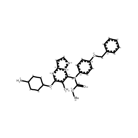 Cc1c(OC2CCC(N)CC2)nc2ccnn2c1N(C(=O)OC(C)(C)C)c1ccc(OCc2ccccc2)cc1